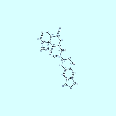 CC(=O)S[C@H](Cc1ccc2c(c1)OCO2)C(=O)NC1CC(=O)N2CC=C[C@@H](C(=O)O)N2C1=O